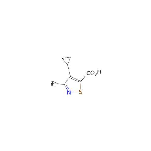 CC(C)c1nsc(C(=O)O)c1C1CC1